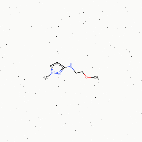 COCCNc1ccn(C)n1